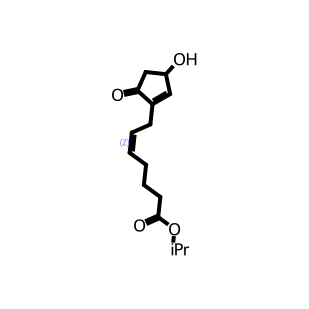 CC(C)OC(=O)CCC/C=C\CC1=CC(O)CC1=O